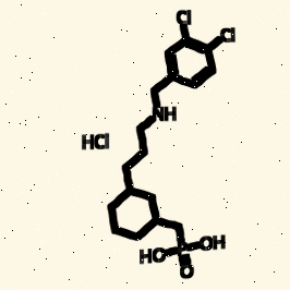 Cl.O=P(O)(O)CC1CCCC(CCCNCc2ccc(Cl)c(Cl)c2)C1